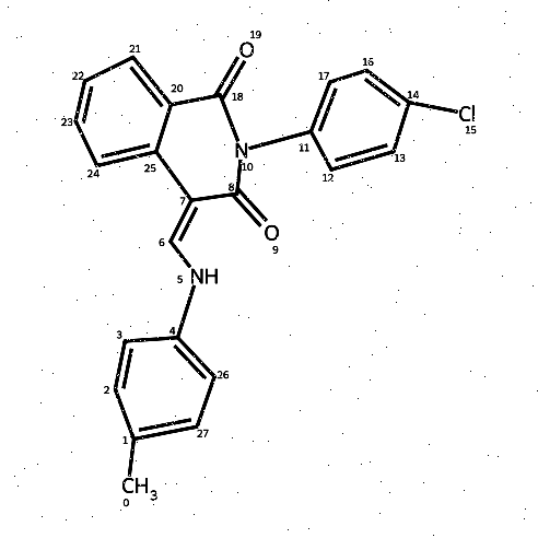 Cc1ccc(N/C=C2\C(=O)N(c3ccc(Cl)cc3)C(=O)c3ccccc32)cc1